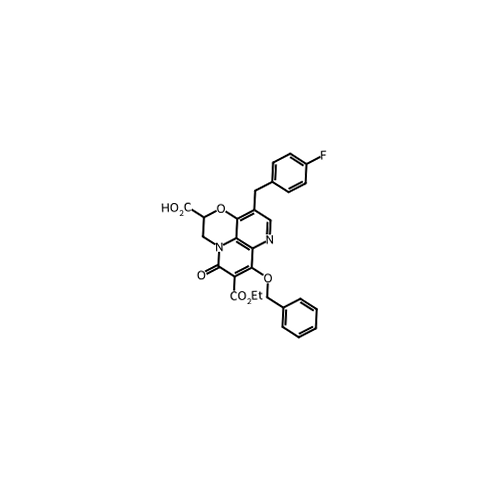 CCOC(=O)c1c(OCc2ccccc2)c2ncc(Cc3ccc(F)cc3)c3c2n(c1=O)CC(C(=O)O)O3